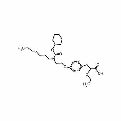 CCCSCCCN(CCOc1ccc(CC(OCC)C(=O)O)cc1)C(=O)OC1CCCCC1